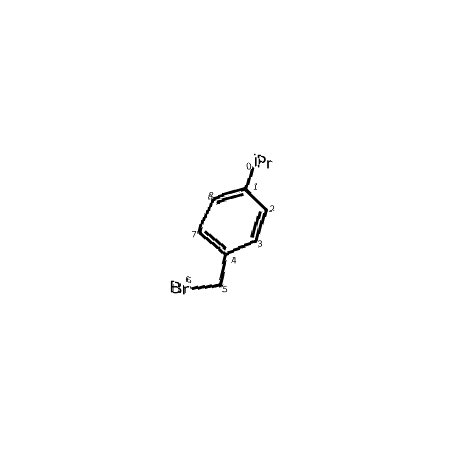 CC(C)c1ccc(CBr)cc1